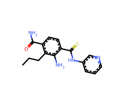 CCCc1c(C(N)=O)ccc(C(=S)Nc2cccnc2)c1N